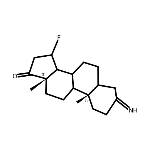 C[C@]12CCC(=N)CC1CCC1C2CC[C@]2(C)C(=O)CC(F)C12